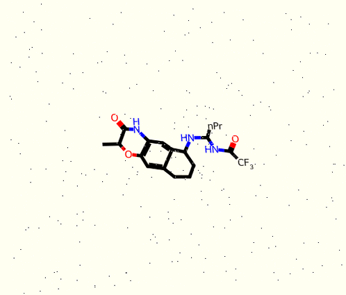 CCCC(NC(=O)C(F)(F)F)NC1CCCc2cc3c(cc21)NC(=O)C(C)O3